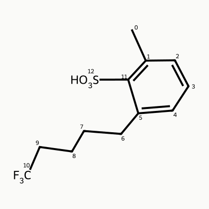 Cc1cccc(CCCCC(F)(F)F)c1S(=O)(=O)O